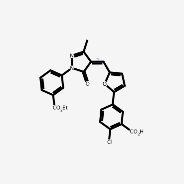 CCOC(=O)c1cccc(N2N=C(C)/C(=C/c3ccc(-c4ccc(Cl)c(C(=O)O)c4)o3)C2=O)c1